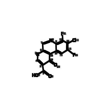 O=C(O)C1=C[N]c2cnc3c(F)c(Cl)c(F)cc3c2C1=O